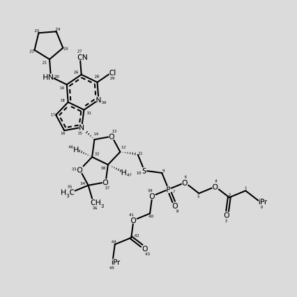 CC(C)CC(=O)OCOP(=O)(CSC[C@H]1O[C@@H](n2ccc3c(NC4CCCC4)c(C#N)c(Cl)nc32)[C@@H]2OC(C)(C)O[C@@H]21)OCOC(=O)CC(C)C